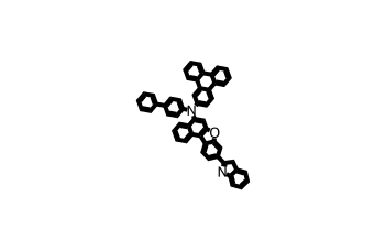 c1ccc(-c2ccc(N(c3ccc4c5ccccc5c5ccccc5c4c3)c3cc4oc5cc(C6=Nc7ccccc7C6)ccc5c4c4ccccc34)cc2)cc1